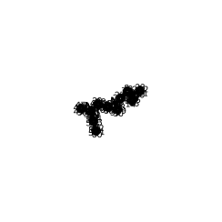 CN(c1ccc(-c2cccc3c2c2ccccc2n3-c2ccccc2)cc1)c1ccccc1-c1ccc(-c2cccc(-c3nc(-c4ccccc4)cc(-c4ccc(-c5ccccc5)cc4)n3)c2)cc1